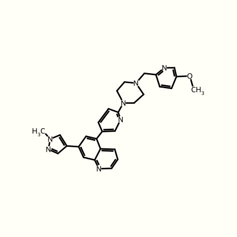 COc1ccc(CN2CCN(c3ccc(-c4cc(-c5cnn(C)c5)cc5ncccc45)cn3)CC2)nc1